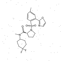 Cc1ccc(S(=O)(=O)N2CCC[C@H]2C(=O)N(C)C2CCC(F)(F)CC2)c(-c2ncco2)c1